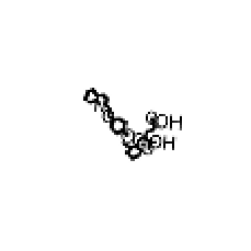 O=C(O)CCC(Oc1ccccc1COc1ccc(OCc2ccc3ccccc3n2)cc1)C(=O)O